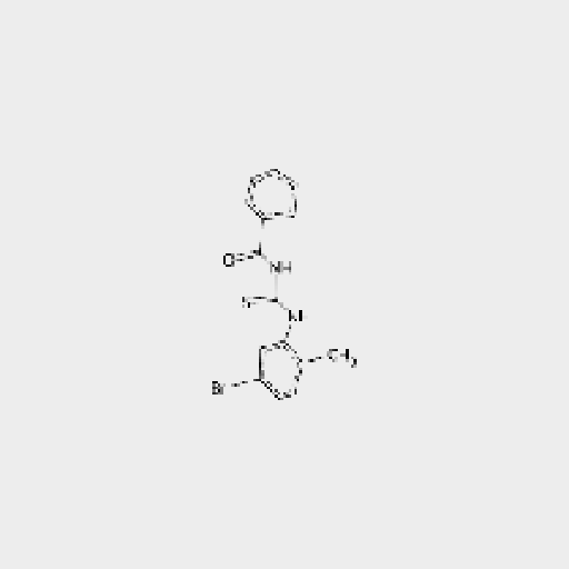 Cc1ccc(Br)cc1NC(=S)NC(=O)c1ccccc1